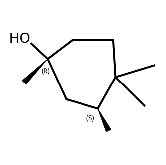 C[C@H]1C[C@](C)(O)CCC1(C)C